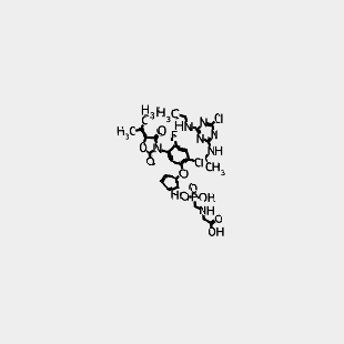 CC(C)=C1OC(=O)N(c2cc(OC3CCCC3)c(Cl)cc2F)C1=O.CCNc1nc(Cl)nc(NCC)n1.O=C(O)CNCP(=O)(O)O